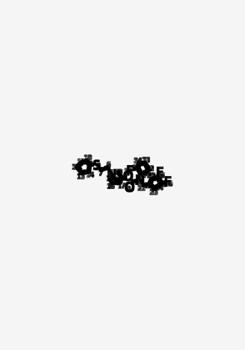 O=C(OC1C[N+]2(CCSc3ccccc3)CCC1CC2)N(Cc1ccc(F)c(F)c1)c1ccccc1F